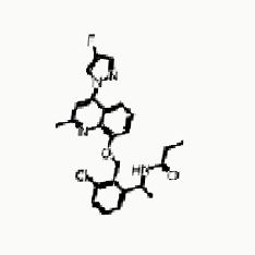 CCC(=O)NC(C)c1cccc(Cl)c1COc1cccc2c(-n3cc(F)cn3)cc(C)nc12